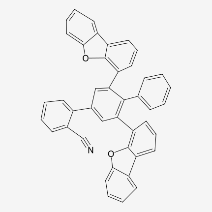 N#Cc1ccccc1-c1cc(-c2cccc3c2oc2ccccc23)c(-c2ccccc2)c(-c2cccc3c2oc2ccccc23)c1